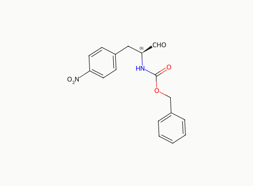 O=C[C@H](Cc1ccc([N+](=O)[O-])cc1)NC(=O)OCc1ccccc1